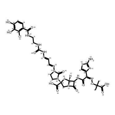 CC(C)(O/N=C(\C(=O)NC1C(=O)N2C[C@@](C(=O)O)(N3CCN(/N=C/C=N/NC(=O)NCCNC(=O)c4ccc(O)c(O)c4Cl)C3=O)S[C@H]12)c1csc(N)n1)C(=O)O